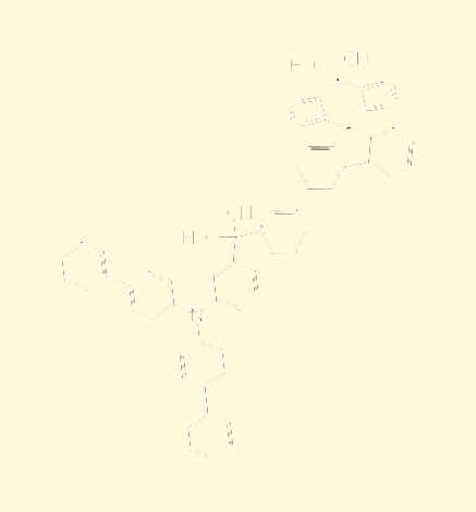 CC1(C)c2cc(-c3ccc4c(c3)-c3ccccc3C43c4ccccc4C(C)(C)c4ccccc43)ccc2-c2ccc(N(c3ccc(-c4ccccc4)cc3)c3ccc(-c4ccccc4)cc3)cc21